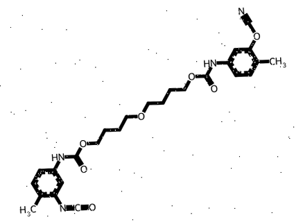 Cc1ccc(NC(=O)OCCCCOCCCCOC(=O)Nc2ccc(C)c(OC#N)c2)cc1N=C=O